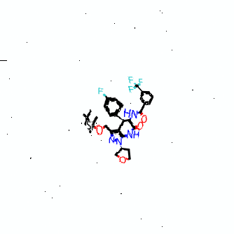 CC(C)(C)[Si](C)(C)OCc1nn([C@@H]2CCOC2)c2c1[C@@H](c1ccc(F)cc1)[C@@H](NC(=O)c1cccc(C(F)(F)F)c1)C(=O)N2